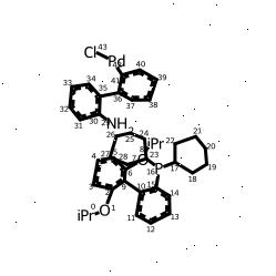 CC(C)Oc1cccc(OC(C)C)c1-c1ccccc1P(C1CCCCC1)C1CCCCC1.Nc1ccccc1-c1cccc[c]1[Pd][Cl]